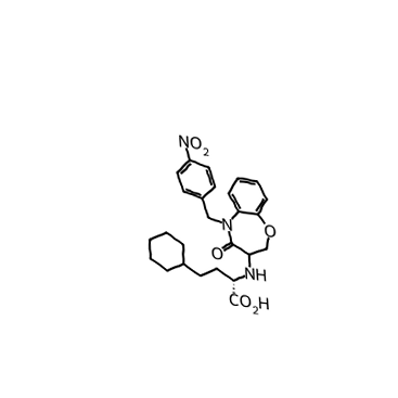 O=C(O)[C@H](CCC1CCCCC1)NC1COc2ccccc2N(Cc2ccc([N+](=O)[O-])cc2)C1=O